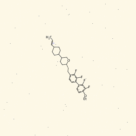 C/C=C/C1CCC(C2CCC(CCc3ccc(-c4ccc(OCC)c(F)c4F)c(F)c3F)OC2)CC1